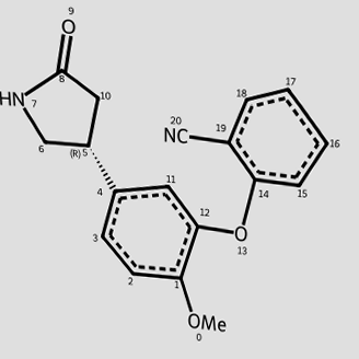 COc1ccc([C@@H]2CNC(=O)C2)cc1Oc1ccccc1C#N